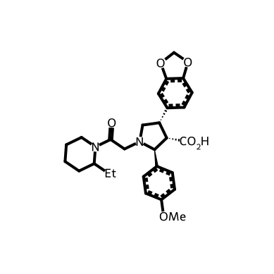 CCC1CCCCN1C(=O)CN1C[C@H](c2ccc3c(c2)OCO3)[C@H](C(=O)O)[C@H]1c1ccc(OC)cc1